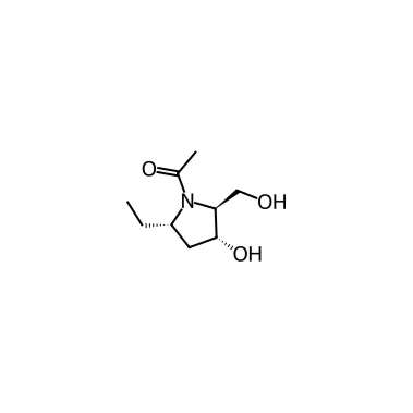 CC[C@H]1C[C@@H](O)[C@H](CO)N1C(C)=O